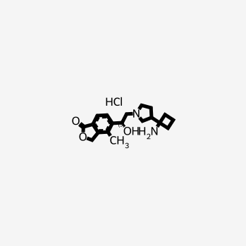 Cc1c([C@H](O)CN2CCC(C3(N)CCC3)C2)ccc2c1COC2=O.Cl